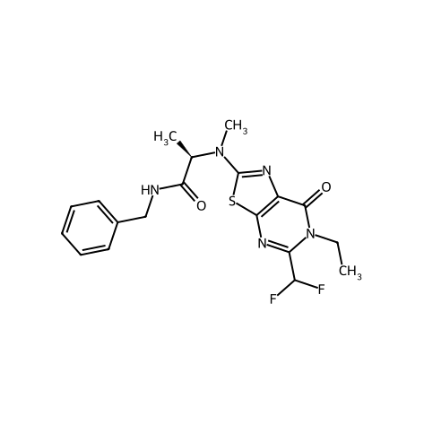 CCn1c(C(F)F)nc2sc(N(C)[C@H](C)C(=O)NCc3ccccc3)nc2c1=O